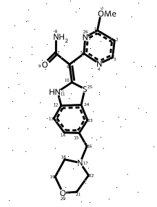 COc1ccnc(/C(C(N)=O)=C2/Nc3ccc(CN4CCOCC4)cc3S2)n1